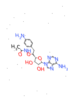 CC(=O)NOC(Cc1ccc(N)cc1)[C@H]1O[C@@H](n2cnc3c(N)ncnc32)[C@H](O)[C@@H]1O